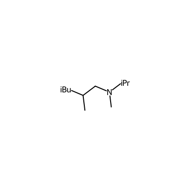 CCC(C)C(C)CN(C)C(C)C